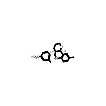 Cc1ccc2c(c1)[C@@H]1OCCC[C@@H]1[C@@H](c1ccc(C(=O)O)cc1C)N2